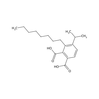 CCCCCCCCc1c(C(C)C)ccc(C(=O)O)c1C(=O)O